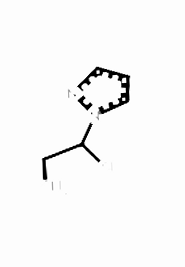 [CH2]CC(S)n1cccn1